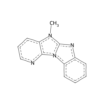 Cn1c2cccnc2n2c3ccccc3nc12